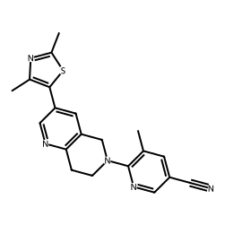 Cc1nc(C)c(-c2cnc3c(c2)CN(c2ncc(C#N)cc2C)CC3)s1